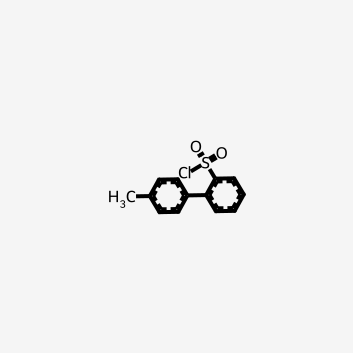 Cc1ccc(-c2ccccc2S(=O)(=O)Cl)cc1